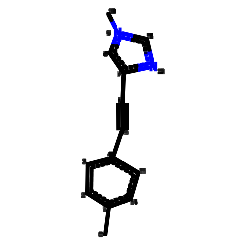 Cc1ccc(C#Cc2cn(C)cn2)cc1